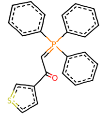 O=C(C=P(c1ccccc1)(c1ccccc1)c1ccccc1)c1ccsc1